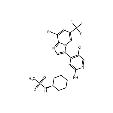 CS(=O)(=O)N[C@H]1CC[C@H](Nc2ncc(Cl)c(-c3cnc4c(Br)cc(C(F)(F)F)cn34)n2)CC1